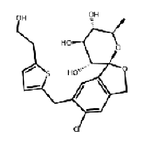 C[C@H]1O[C@]2(OCc3cc(Cl)c(Cc4ccc(CCO)s4)cc32)[C@H](O)[C@@H](O)[C@@H]1O